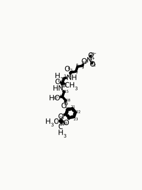 CC(C)(CNC(=O)CCCO[N+](=O)[O-])NCC(O)COc1cccc2c1OC(C)(C)O2